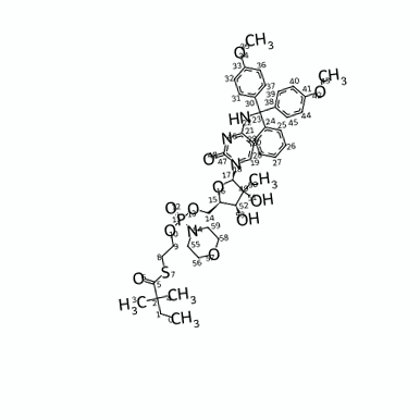 CCC(C)(C)C(=O)SCCOP(=O)(OC[C@H]1O[C@@H](n2ccc(NC(c3ccccc3)(c3ccc(OC)cc3)c3ccc(OC)cc3)nc2=O)C(C)(O)[C@H]1O)N1CCOCC1